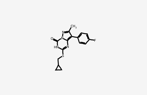 Cc1nn2c(=O)[nH]c(SCC3CC3)nc2c1-c1ccc(F)cc1